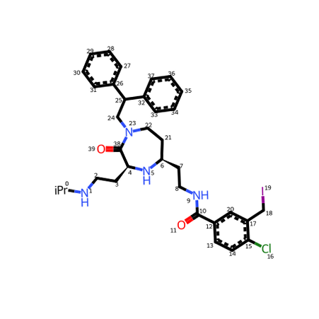 CC(C)NCC[C@@H]1N[C@H](CCNC(=O)c2ccc(Cl)c(CI)c2)CCN(CC(c2ccccc2)c2ccccc2)C1=O